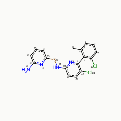 Cc1cccc(Cl)c1-c1nc(NSc2cccc(N)n2)ccc1Cl